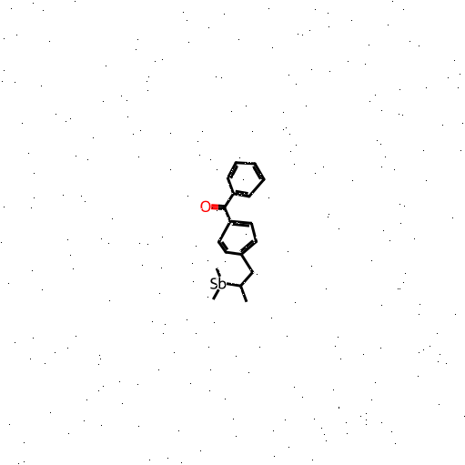 C[CH](Cc1ccc(C(=O)c2ccccc2)cc1)[Sb]([CH3])[CH3]